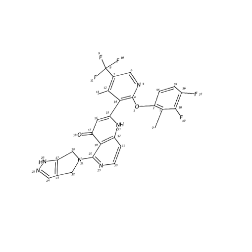 Cc1c(Oc2ncc(C(F)(F)F)c(C)c2-c2cc(=O)c3c(N4Cc5cn[nH]c5C4)nccc3[nH]2)ccc(F)c1F